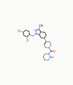 N#Cc1nn(Cc2ccc(Cl)cc2Cl)c2cc(C3=CCN(C(=O)C4CCCCN4)CC3)ccc12